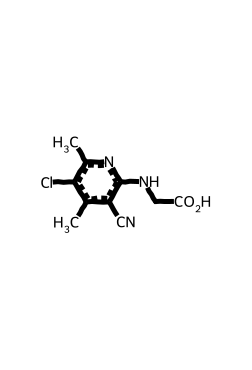 Cc1nc(NCC(=O)O)c(C#N)c(C)c1Cl